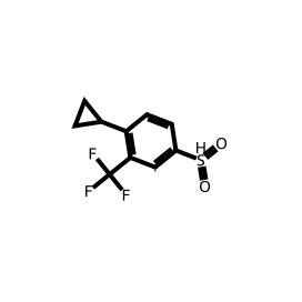 O=[SH](=O)c1[c]c(C(F)(F)F)c(C2CC2)cc1